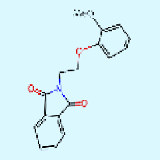 COc1ccccc1OCCN1C(=O)c2ccccc2C1=O